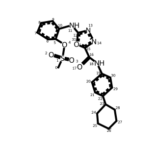 CS(=O)(=O)Oc1ccccc1Nc1nnc(C(=O)Nc2ccc(C3CC[CH]CC3)cc2)o1